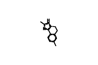 Cc1ccc2c(c1)CCc1[nH]c(C)nc1-2